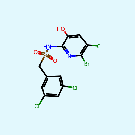 O=S(=O)(Cc1cc(Cl)cc(Cl)c1)Nc1nc(Br)c(Cl)cc1O